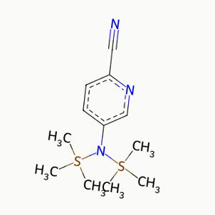 CS(C)(C)N(c1ccc(C#N)nc1)S(C)(C)C